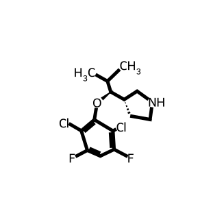 CC(C)[C@H](Oc1c(Cl)c(F)cc(F)c1Cl)[C@H]1CCNC1